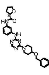 O=C(Nc1cccc(Nc2ncnc(N3CCC(OCc4ccccc4)CC3)n2)c1)[C@@H]1CCCO1